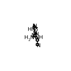 CCn1nc(C)cc1NC(=O)Cn1cnc2c(Nc3ccc(-c4cccnc4)cc3)nc(N)nc21